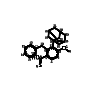 COc1ccc(C(O)=S)c(Cc2ccccc2)c1C12CC3CC(CC(C3)C1)C2